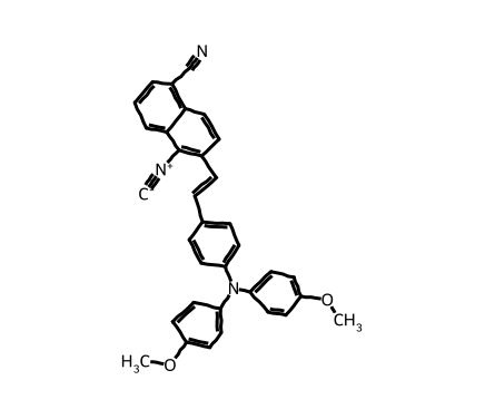 [C-]#[N+]c1c(C=Cc2ccc(N(c3ccc(OC)cc3)c3ccc(OC)cc3)cc2)ccc2c(C#N)cccc12